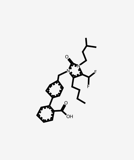 CCCCc1c(C(F)F)n(CCC(C)C)c(=O)n1Cc1ccc(-c2ccccc2C(=O)O)cc1